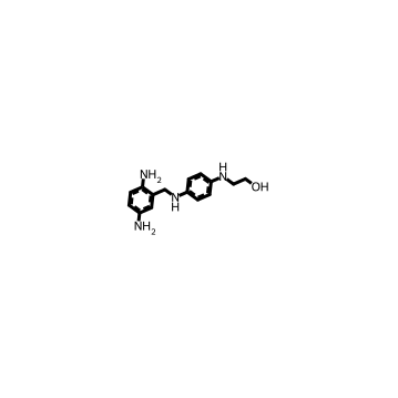 Nc1ccc(N)c(CNc2ccc(NCCO)cc2)c1